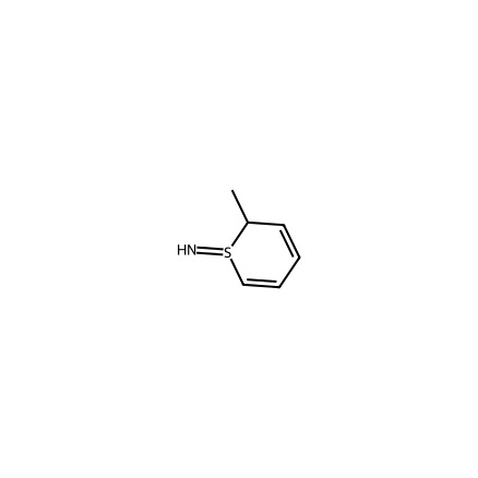 CC1C=CC=CS1=N